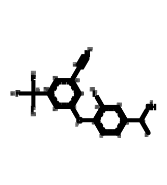 CC(O)c1ccc(Oc2cc(C#N)cc(C(F)(F)F)c2)c(F)c1